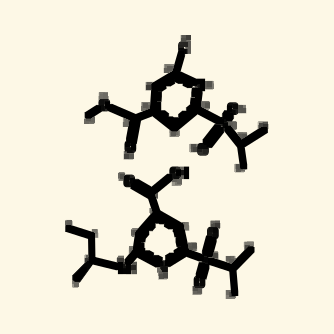 CC[C@H](C)Nc1cc(C(=O)O)cc(S(=O)(=O)C(C)C)n1.COC(=O)c1cc(Cl)nc(S(=O)(=O)C(C)C)c1